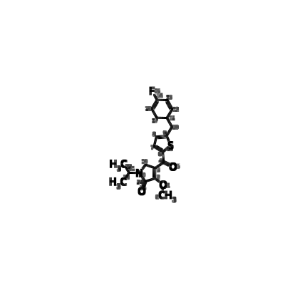 COC1=C(C(=O)c2ccc(CC3C=CC(F)=CC3)s2)CN(C(C)C)C1=O